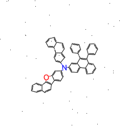 c1ccc(-c2c(-c3ccccc3)c3cc(N(c4ccc5c(ccc6ccccc65)c4)c4ccc5c(c4)oc4c6ccccc6ccc54)ccc3c3ccccc23)cc1